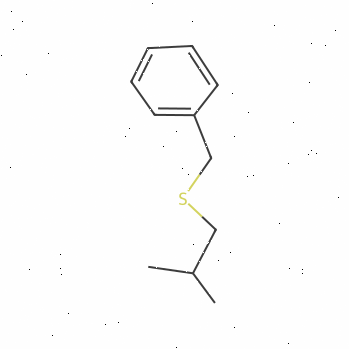 CC(C)CSCc1ccccc1